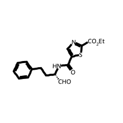 CCOC(=O)c1ncc(C(=O)N[C@H](C=O)CCc2ccccc2)s1